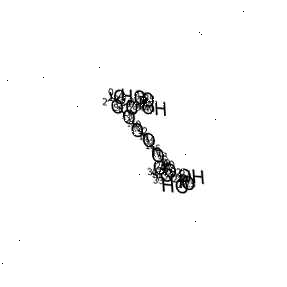 C=C(C)C(=O)OC(COCCOCCOCCOCC(COCCP(=O)(O)O)OC(=O)C(=C)C)COCCP(=O)(O)O